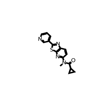 CN(C(=O)C1CC1)c1ccc2nc(-c3cccnc3)sc2n1